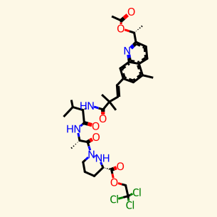 CC(=O)O[C@H](C)c1ccc2c(C)cc(/C=C/C(C)(C)C(=O)N[C@H](C(=O)N[C@@H](C)C(=O)N3CCC[C@@H](C(=O)OCC(Cl)(Cl)Cl)N3)C(C)C)cc2n1